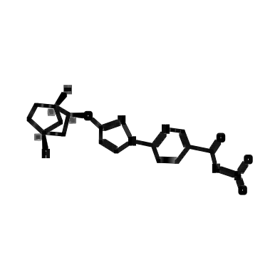 O=C(N=S(=O)=O)c1ccc(-n2ccc(O[C@H]3C[C@@H]4CC[C@H]3C4)n2)nc1